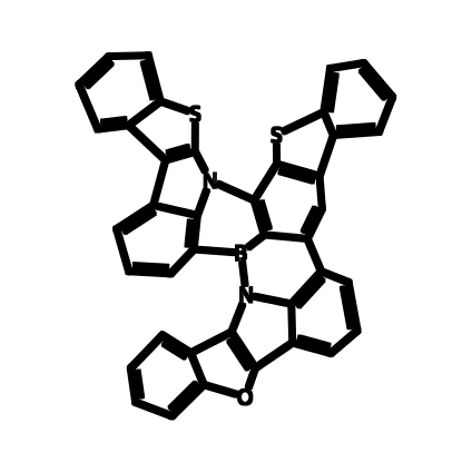 c1ccc2c(c1)oc1c3cccc4c3n(c21)B1c2c-4cc3c(sc4ccccc43)c2-n2c3sc4ccccc4c3c3cccc1c32